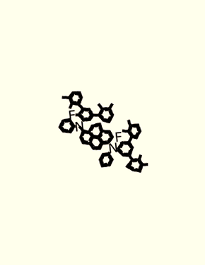 Cc1cccc(-c2cc(-c3cccc(C)c3C)c(F)c(N(c3ccccc3)c3ccc4ccc5c(N(c6ccccc6)c6cc(-c7cccc(C)c7C)cc(-c7cccc(C)c7C)c6F)ccc6ccc3c4c65)c2)c1C